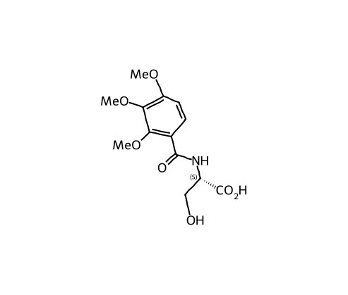 COc1ccc(C(=O)N[C@@H](CO)C(=O)O)c(OC)c1OC